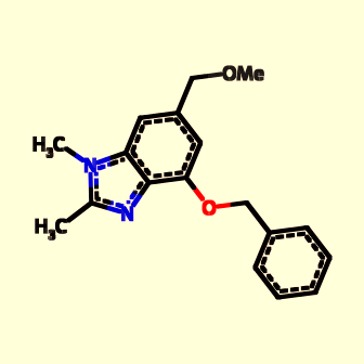 COCc1cc(OCc2ccccc2)c2nc(C)n(C)c2c1